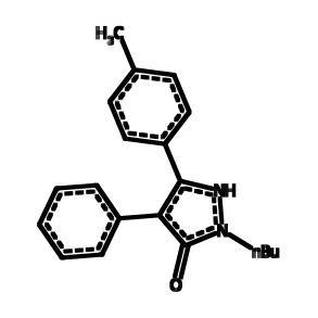 CCCCn1[nH]c(-c2ccc(C)cc2)c(-c2ccccc2)c1=O